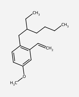 C=Cc1cc(OC)ccc1CC(CC)CCCC